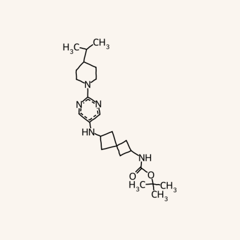 CC(C)C1CCN(c2ncc(NC3CC4(CC(NC(=O)OC(C)(C)C)C4)C3)cn2)CC1